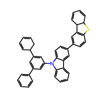 C1=CCC(c2cc(-c3ccccc3)cc(-n3c4ccccc4c4cc(-c5ccc6c(c5)C5C=CC=CC5S6)ccc43)c2)C=C1